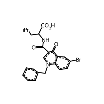 CC(C)CC(NC(=O)c1cn(Cc2ccccc2)c2ccc(Br)cc2c1=O)C(=O)O